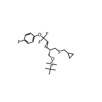 CC(C)(C)[Si](C)(C)OC[C@H](CSCC1CC1)N=CC(F)(F)Oc1ccc(F)cc1